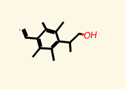 [CH]=Cc1c(C)c(C)c(C(C)CO)c(C)c1C